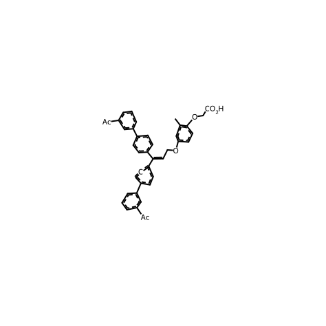 CC(=O)c1cccc(-c2ccc(C(=CCOc3ccc(OCC(=O)O)c(C)c3)c3ccc(-c4cccc(C(C)=O)c4)cc3)cc2)c1